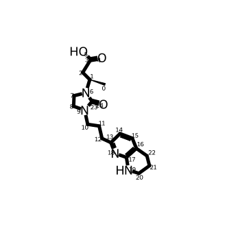 C[C@H](CC(=O)O)N1CCN(CCCc2ccc3c(n2)NCCC3)C1=O